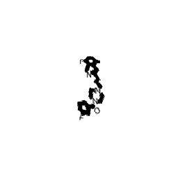 Cc1ccc(F)c2cnc(CCCN3CCN(C(=O)c4cccc(F)c4)CC3)cc12